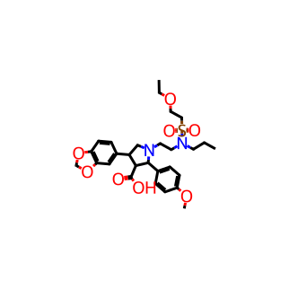 CCCN(CCN1CC(c2ccc3c(c2)OCO3)C(C(=O)O)C1c1ccc(OC)cc1)S(=O)(=O)CCOCC